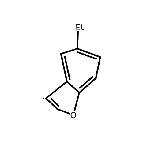 CCc1ccc2oc[c]c2c1